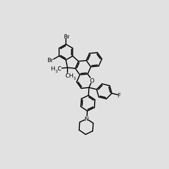 CC1(C)c2c(Br)cc(Br)cc2-c2c1c1c(c3ccccc23)OC(c2ccc(F)cc2)(c2ccc(N3CCCCC3)cc2)C=C1